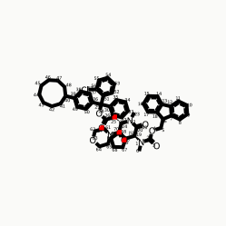 CN(C(=O)OCC1c2ccccc2-c2ccccc21)[C@H](C(=O)N(C)[C@@H](CC(=O)OC(c1ccccc1)(c1ccc(C2CCCCCCCC2)cc1)c1ccccc1Cl)C(=O)N1CCOCC1)C1CCCC1